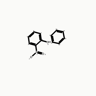 O=[N+]([O-])c1ccccc1O.c1ccccc1